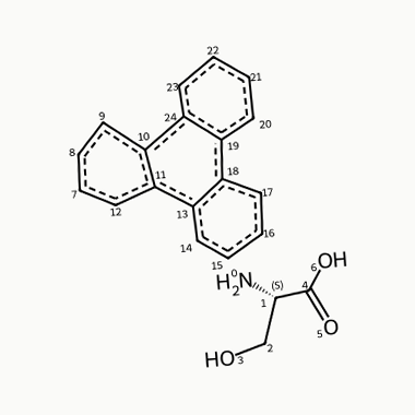 N[C@@H](CO)C(=O)O.c1ccc2c(c1)c1ccccc1c1ccccc21